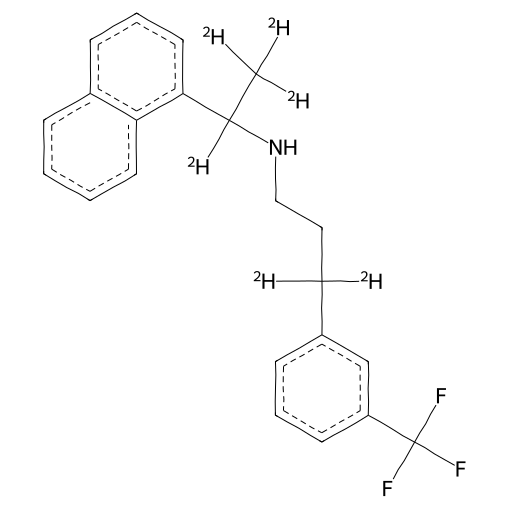 [2H]C([2H])(CCNC([2H])(c1cccc2ccccc12)C([2H])([2H])[2H])c1cccc(C(F)(F)F)c1